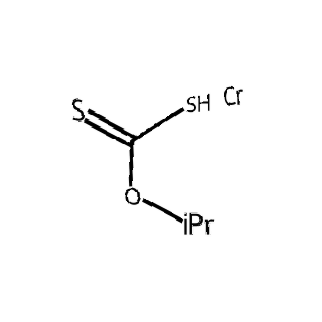 CC(C)OC(=S)S.[Cr]